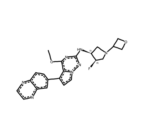 COc1nc(N[C@H]2CN(C3COC3)C[C@H]2F)nn2ccc(-c3ccc4nccnc4c3)c12